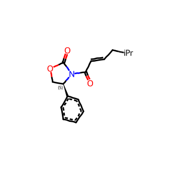 CC(C)CC=CC(=O)N1C(=O)OC[C@@H]1c1ccccc1